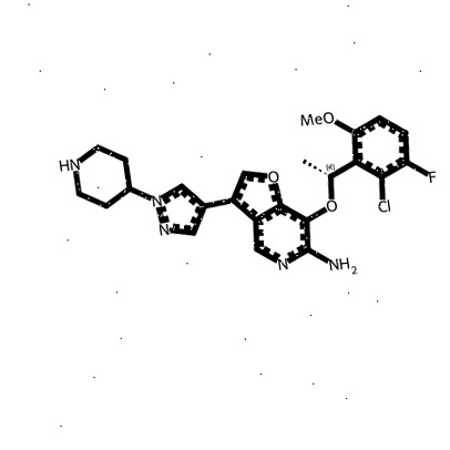 COc1ccc(F)c(Cl)c1[C@@H](C)Oc1c(N)ncc2c(-c3cnn(C4CCNCC4)c3)coc12